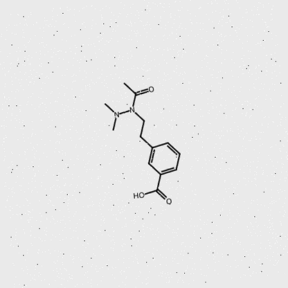 CC(=O)N(CCc1cccc(C(=O)O)c1)N(C)C